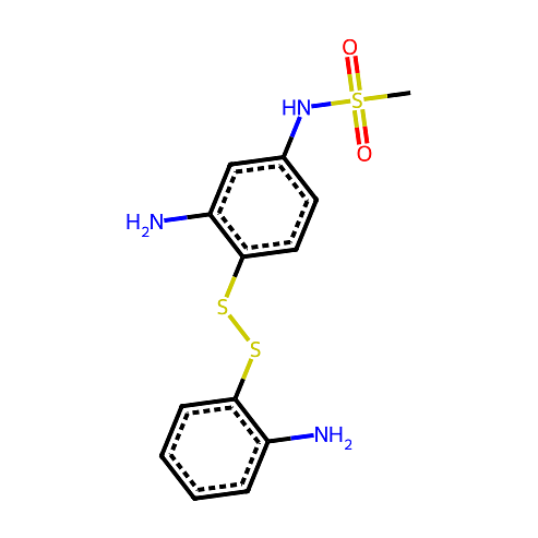 CS(=O)(=O)Nc1ccc(SSc2ccccc2N)c(N)c1